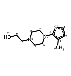 Cc1ccsc1N1CCN(CCO)CC1